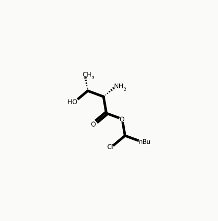 CCCCC(Cl)OC(=O)[C@@H](N)[C@@H](C)O